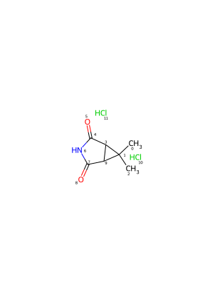 CC1(C)C2C(=O)NC(=O)C21.Cl.Cl